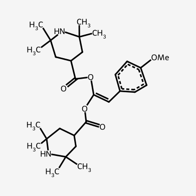 COc1ccc(C=C(OC(=O)C2CC(C)(C)NC(C)(C)C2)OC(=O)C2CC(C)(C)NC(C)(C)C2)cc1